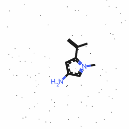 C=C(C)c1cc(N)cn1C